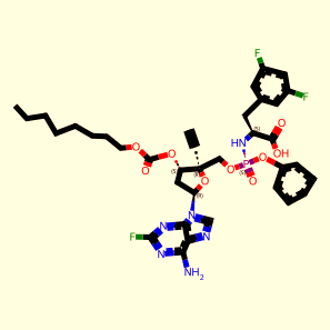 C#C[C@]1(CO[P@@](=O)(N[C@@H](Cc2cc(F)cc(F)c2)C(=O)O)Oc2ccccc2)O[C@@H](n2cnc3c(N)nc(F)nc32)C[C@@H]1OC(=O)OCCCCCCCC